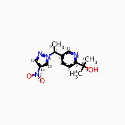 CC(c1ccc(C(C)(C)O)nc1)n1cc([N+](=O)[O-])cn1